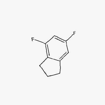 Fc1cc(F)c2c(c1)CCC2